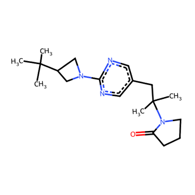 CC(C)(C)C1CN(c2ncc(CC(C)(C)N3CCCC3=O)cn2)C1